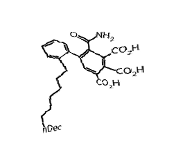 CCCCCCCCCCCCCCCCc1ccccc1-c1cc(C(=O)O)c(C(=O)O)c(C(=O)O)c1C(N)=O